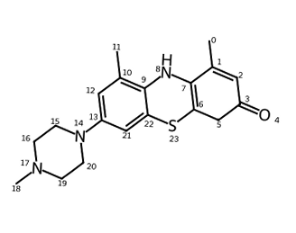 CC1=CC(=O)CC2=C1Nc1c(C)cc(N3CCN(C)CC3)cc1S2